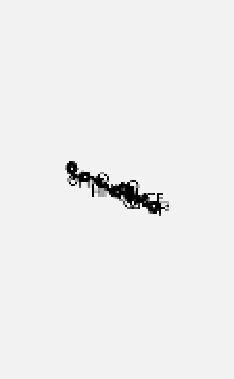 C[C@H](N(Cc1ccc(F)cc1)C(=O)CN1C(=O)O[C@@]2(CCc3cc(NCCC(=O)NCc4ccc(C(=O)c5ccccc5)cc4)ccc32)C1=O)C(F)(F)F